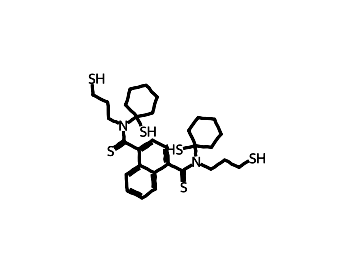 S=C(c1ccc(C(=S)N(CCCS)C2(S)CCCCC2)c2ccccc12)N(CCCS)C1(S)CCCCC1